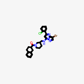 O=C(C1CCc2ccccc2C1)N1CCCC(CNc2cc(-c3ccccc3Cl)nc3c(Br)cnn23)C1